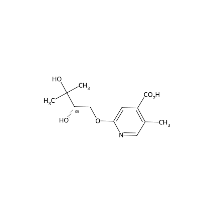 Cc1cnc(OC[C@H](O)C(C)(C)O)cc1C(=O)O